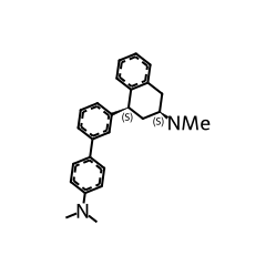 CN[C@@H]1Cc2ccccc2[C@H](c2cccc(-c3ccc(N(C)C)cc3)c2)C1